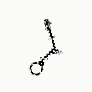 C=CC/C(=C/CCCCNC(=O)CCCCC(F)(F)C(F)(F)OC(F)(OF)C(F)(F)SO)C/C(=C/CCCCNC(=O)c1ccc2c(c1)OCCOCCOCCOCCOCCO2)CC